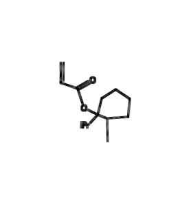 C=CC(=O)OC1(C(C)C)CCCCC1C